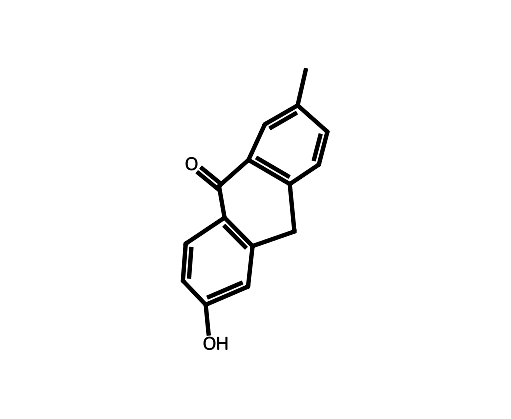 Cc1ccc2c(c1)C(=O)c1ccc(O)cc1C2